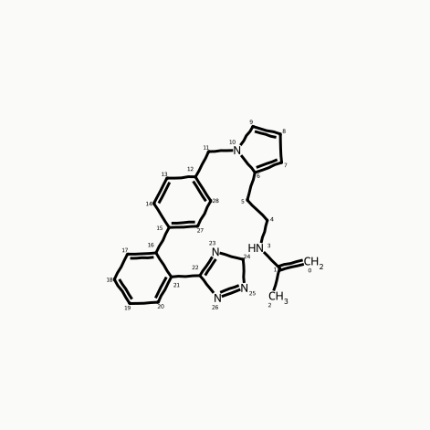 C=C(C)NCCc1cccn1Cc1ccc(-c2ccccc2C2=NCN=N2)cc1